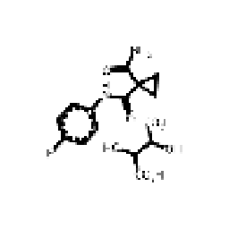 NC(=O)C1(C(=O)Nc2ccc(F)cc2)CC1.O=C(O)C(O)C(O)C(=O)O